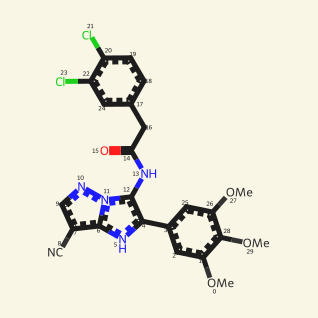 COc1cc(-c2[nH]c3c(C#N)cnn3c2NC(=O)Cc2ccc(Cl)c(Cl)c2)cc(OC)c1OC